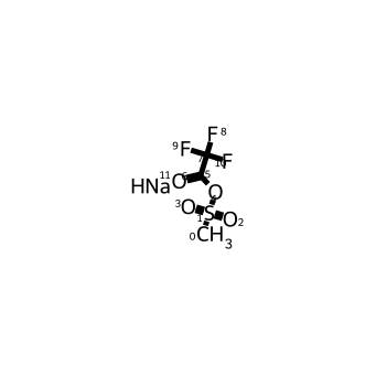 CS(=O)(=O)OC(=O)C(F)(F)F.[NaH]